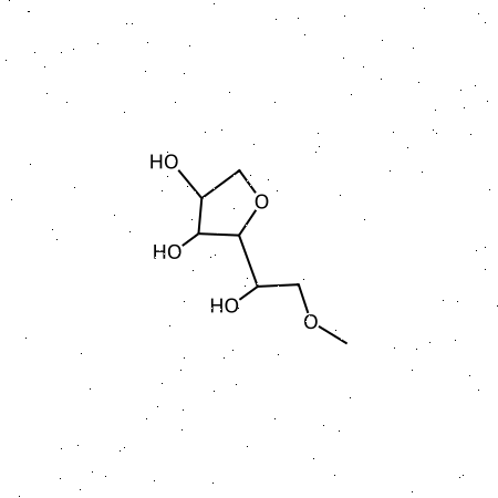 COCC(O)C1OCC(O)C1O